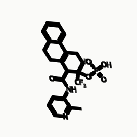 Cc1ncccc1NC(=O)C1C2=C(CCC1(OP(=O)(O)O)C(F)(F)F)c1ccccc1CC2